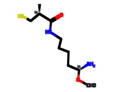 C[C@@H](CS)C(=O)NCCCC[C@H](N)OC=O